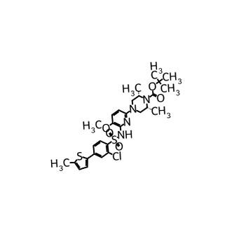 COc1ccc(N2C[C@@H](C)N(C(=O)OC(C)(C)C)[C@@H](C)C2)nc1NS(=O)(=O)c1ccc(-c2ccc(C)s2)cc1Cl